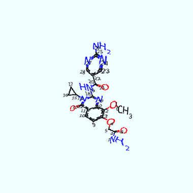 COc1c(OCC(N)=O)ccc2c(=O)n(C3CC3)c(NC(=O)c3cnc(N)nc3)nc12